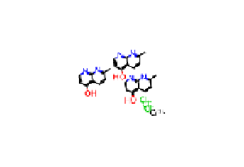 Cc1ccc2c(O)ccnc2n1.Cc1ccc2c(O)ccnc2n1.Cc1ccc2c(O)ccnc2n1.[Cl-].[Cl-].[Cl-].[Cr+3]